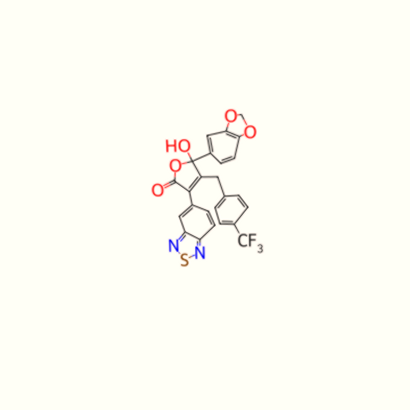 O=C1OC(O)(c2ccc3c(c2)OCO3)C(Cc2ccc(C(F)(F)F)cc2)=C1c1ccc2nsnc2c1